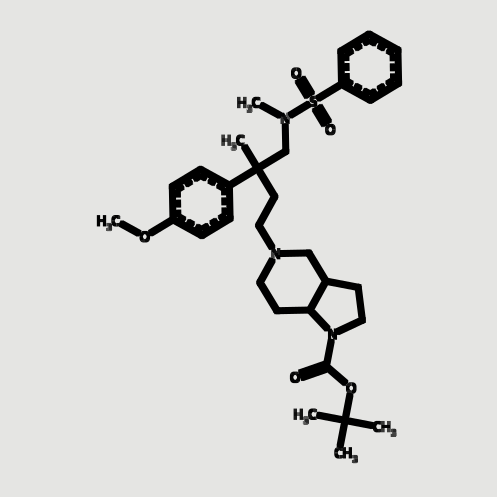 COc1ccc(C(C)(CCN2CCC3C(CCN3C(=O)OC(C)(C)C)C2)CN(C)S(=O)(=O)c2ccccc2)cc1